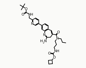 CCCN(CCCNC(=O)OC1CCC1)C(=O)C1=Cc2ccc(-c3ccc(CNC(=O)OC(C)(C)C)nc3)cc2N=C(N)C1